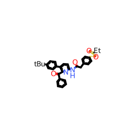 CCS(=O)(=O)c1ccc(CC(=O)Nc2ccc(-c3ccc(C(C)(C)C)cc3)c(C(=O)c3ccccc3)n2)cc1